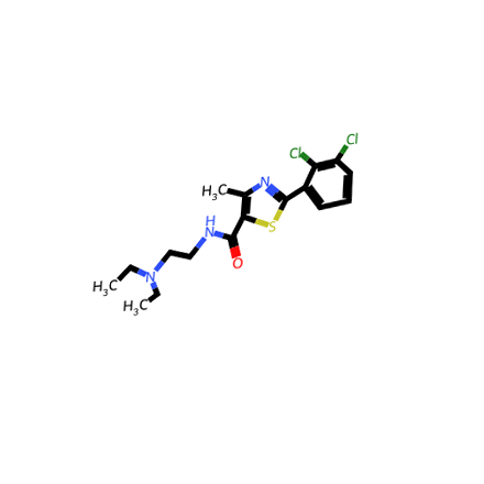 CCN(CC)CCNC(=O)c1sc(-c2cccc(Cl)c2Cl)nc1C